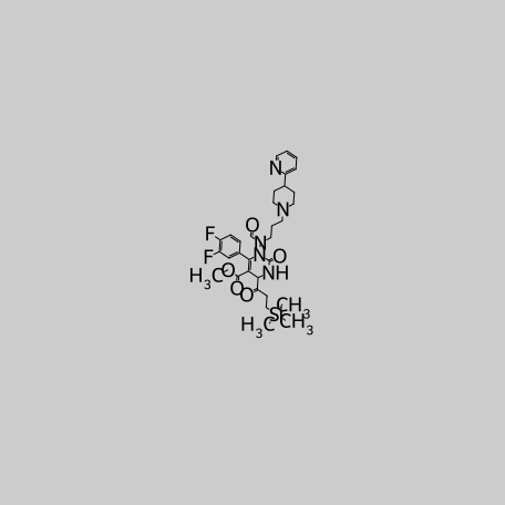 COC(=O)C1=C(c2ccc(F)c(F)c2)N(N(C=O)CCCN2CCC(c3ccccn3)CC2)C(=O)NC1C(=O)CC[Si](C)(C)C